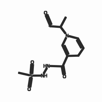 CC([C]=O)N1C=CCC(C(=O)NNS(C)(=O)=O)=C1